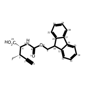 C#C[C@H](C)[C@@H](NC(=O)OCC1c2ccccc2-c2ccccc21)C(=O)O